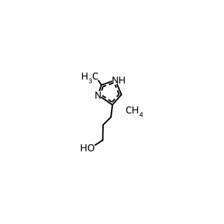 C.Cc1nc(CCCO)c[nH]1